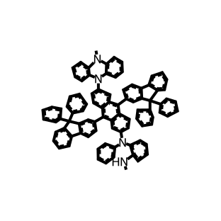 CNc1ccccc1N(c1ccccc1)c1ccc2c(-c3ccc4c(c3)C(c3ccccc3)(c3ccccc3)c3ccccc3-4)c3cc(N4c5ccccc5N(C)c5ccccc54)ccc3c(-c3ccc4c(c3)C(c3ccccc3)(c3ccccc3)c3ccccc3-4)c2c1